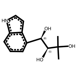 CC(C)(O)[C@@H](O)[C@H](O)c1cccc2[nH]ccc12